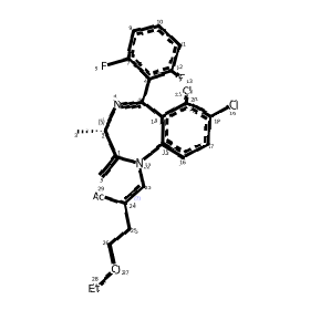 C=C1[C@H](C)N=C(c2c(F)cccc2F)c2c(ccc(Cl)c2Cl)N1/C=C(/CCOCC)C(C)=O